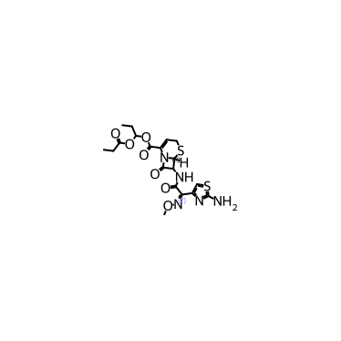 CCC(=O)OC(CC)OC(=O)C1=CCS[C@@H]2C(NC(=O)/C(=N\OC)c3csc(N)n3)C(=O)N12